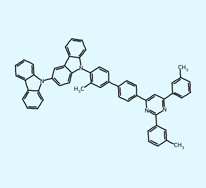 Cc1cccc(-c2cc(-c3ccc(-c4ccc(-n5c6ccccc6c6cc(-n7c8ccccc8c8ccccc87)ccc65)c(C)c4)cc3)nc(-c3cccc(C)c3)n2)c1